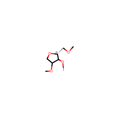 COC[C@H]1OCC(OC)C1OI